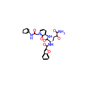 NC(=O)C(=O)CC[C@H](NC(=O)c1cc2ccccc2o1)C(=O)Nc1cccn(CC(=O)N[C@@H]2CC3CCC2C3)c1=O